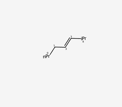 [CH2]CCCC=CC(C)C